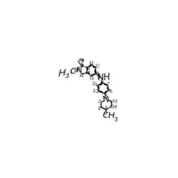 CC1CCN(c2ccc(Nc3ccc4c(c3)CN(C)C4=O)cc2)CC1